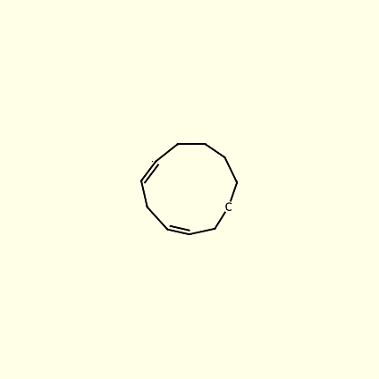 [C]1=C\C/C=C\CCCCCC/1